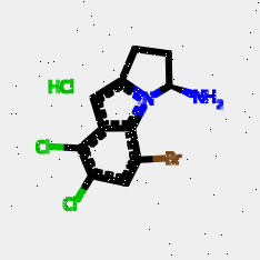 Cl.N[C@@H]1CCc2cc3c(Cl)c(Cl)cc(Br)c3n21